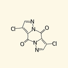 O=c1c2c(Cl)cnn2c(=O)c2c(Cl)cnn12